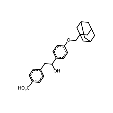 O=C(O)c1ccc(CC(O)c2ccc(OCC34CC5CC(CC(C5)C3)C4)cc2)cc1